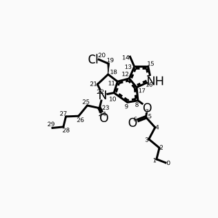 CCCCCC(=O)Oc1cc2c(c3c(C)c[nH]c13)[C@H](CCl)CN2C(=O)CCCCC